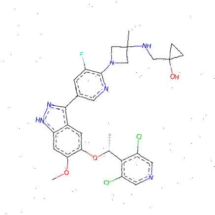 COc1cc2[nH]nc(-c3cnc(N4CC(C)(NCC5(O)CC5)C4)c(F)c3)c2cc1O[C@H](C)c1c(Cl)cncc1Cl